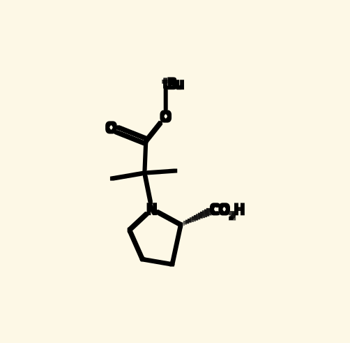 CC(C)(C)OC(=O)C(C)(C)N1CCC[C@H]1C(=O)O